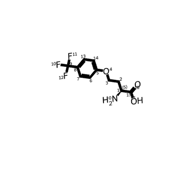 N[C@@H](CCOc1ccc(C(F)(F)F)cc1)C(=O)O